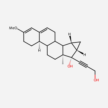 COC1=CC2=CCC3C(CC[C@@]4(C)C3[C@@H]3C[C@@H]3[C@@]4(O)C#CCO)[C@H]2CC1